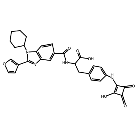 O=C(NC(Cc1ccc(Nc2c(O)c(=O)c2=O)cc1)C(=O)O)c1ccc2c(c1)nc(-c1ccoc1)n2C1CCCCC1